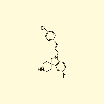 Fc1ccc2c(c1)C1(CCNCC1)CN2CC=Cc1ccc(Cl)cc1